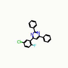 Fc1ccc(Cl)cc1-c1cc(-c2ccccc2)nc(-c2ccccc2)n1